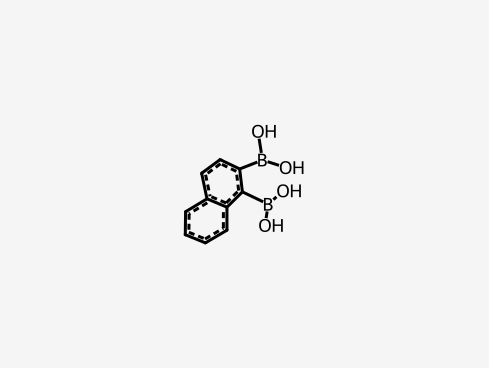 OB(O)c1ccc2ccccc2c1B(O)O